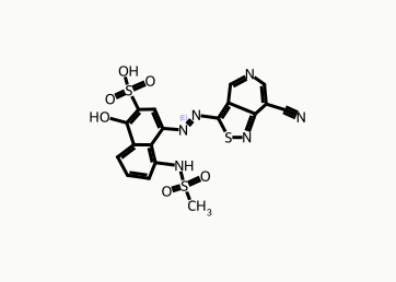 CS(=O)(=O)Nc1cccc2c(O)c(S(=O)(=O)O)cc(/N=N/c3snc4c(C#N)cncc34)c12